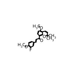 COc1ccc(C=CC(=O)c2ccc(OC)c3c2OC(C)(C)C=C3)cc1F